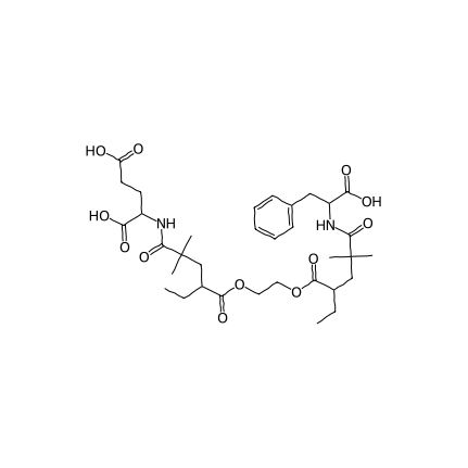 CCC(CC(C)(C)C(=O)NC(CCC(=O)O)C(=O)O)C(=O)OCCOC(=O)C(CC)CC(C)(C)C(=O)NC(Cc1ccccc1)C(=O)O